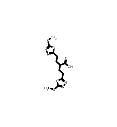 CSc1nnc(CCC(CCc2nnc(SC)o2)C(=O)O)o1